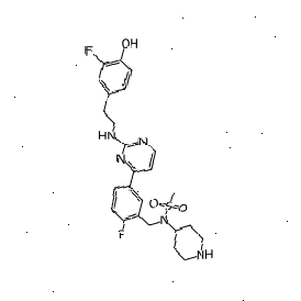 CS(=O)(=O)N(Cc1cc(-c2ccnc(NCCc3ccc(O)c(F)c3)n2)ccc1F)C1CCNCC1